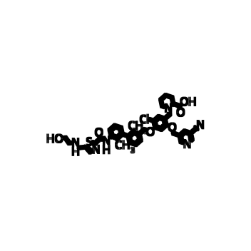 Cc1c(COc2cc(OCc3cncc(C#N)c3)c(CN3CCCCC3C(=O)O)cc2Cl)cccc1-c1cccc(NC(=O)c2ncc(CNCCO)s2)c1C